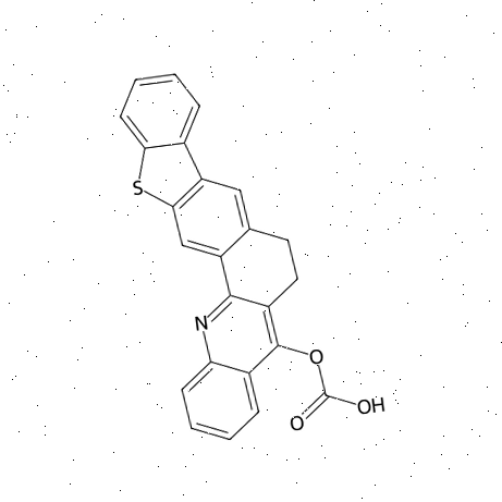 O=C(O)Oc1c2c(nc3ccccc13)-c1cc3sc4ccccc4c3cc1CC2